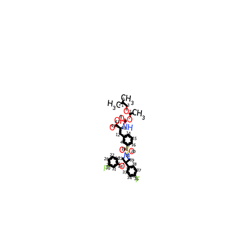 CC(C)COC(C)OC(=O)NC(Cc1cccc(S(=O)(=O)N2CC(Oc3cccc(F)c3)(c3ccc(F)cc3)C2)c1)C(=O)O